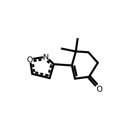 CC1(C)CCC(=O)C=C1c1ccon1